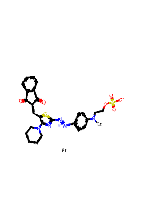 CCN(CCOS(=O)(=O)[O-])c1ccc(/N=N/c2nc(N3CCCCC3)c(C=C3C(=O)c4ccccc4C3=O)s2)cc1.[Na+]